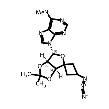 CNc1ncnc2c1ncn2[C@@H]1OC2(CC(N=[N+]=[N-])C2)[C@H]2OC(C)(C)O[C@@H]12